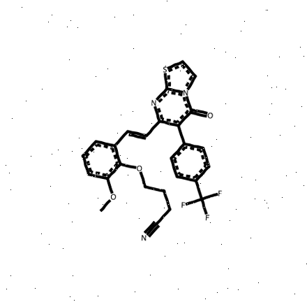 COc1cccc(C=Cc2nc3sccn3c(=O)c2-c2ccc(C(F)(F)F)cc2)c1OCCCC#N